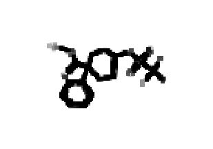 COC(=O)C1(c2ccccc2)CC=C(OS(=O)(=O)C(F)(F)F)CC1